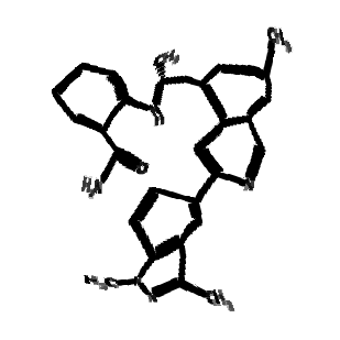 Cc1cc([C@@H](C)Nc2ccccc2C(N)=O)c2cc(-c3ccc4c(c3)c(C)nn4C)ncc2c1